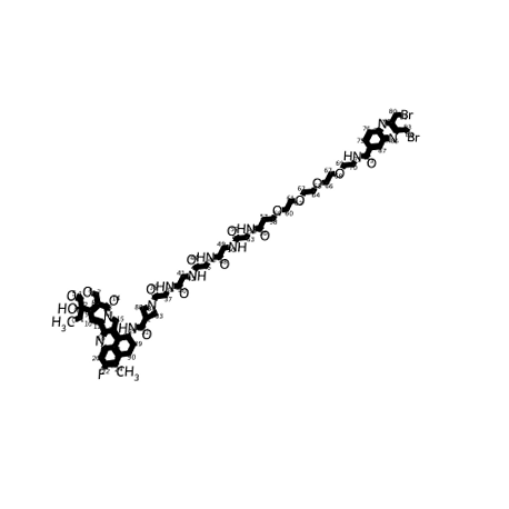 CC[C@]1(O)C(=O)OCc2c1cc1n(c2=O)Cc2c-1nc1cc(F)c(C)c3c1c2[C@H](NC(=O)C1CN(C(=O)CNC(=O)CNC(=O)CNC(=O)CNC(=O)CNC(=O)CCOCCOCCOCCOCCNC(=O)c2ccc4nc(CBr)c(CBr)nc4c2)C1)CC3